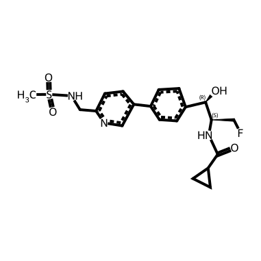 CS(=O)(=O)NCc1ccc(-c2ccc([C@@H](O)[C@@H](CF)NC(=O)C3CC3)cc2)cn1